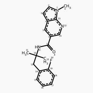 Cn1ccc2cc(C(=O)NC(C)(C)Cc3ccccc3F)cnc21